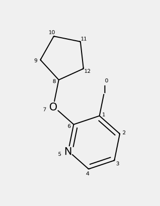 Ic1cccnc1OC1CCCC1